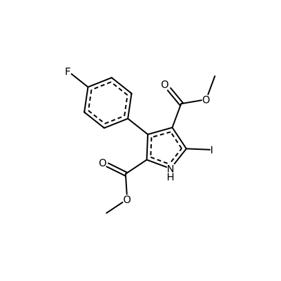 COC(=O)c1[nH]c(I)c(C(=O)OC)c1-c1ccc(F)cc1